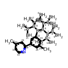 BBB(B(B)B)B(B(B(B)B)B(B)B)B(B(B(B)B)B(B)B)c1cc(C)cc(-c2cc(C)ccn2)c1